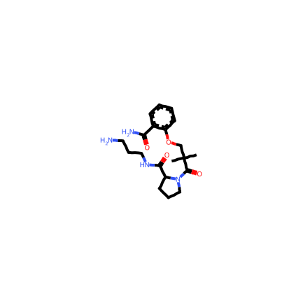 CC(C)(COc1ccccc1C(N)=O)C(=O)N1CCCC1C(=O)NCCCN